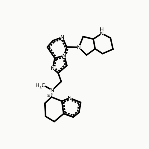 CN(Cc1cn2c(N3CC4CCCNC4C3)nccc2n1)[C@H]1CCCc2cccnc21